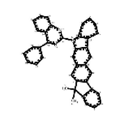 CC1(C)c2ccccc2-c2cc3cc4c5ccccc5n(-c5nc(-c6ccccc6)c6ccccc6n5)c4cc3cc21